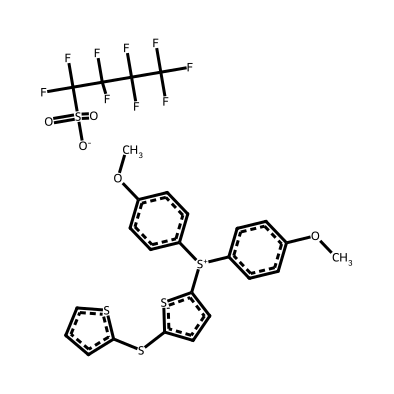 COc1ccc([S+](c2ccc(OC)cc2)c2ccc(Sc3cccs3)s2)cc1.O=S(=O)([O-])C(F)(F)C(F)(F)C(F)(F)C(F)(F)F